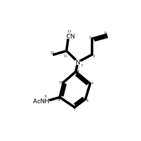 C=CCN(c1cccc(NC(C)=O)c1)C(C)C#N